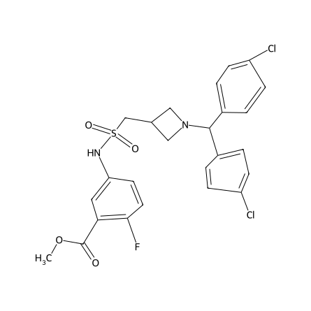 COC(=O)c1cc(NS(=O)(=O)CC2CN(C(c3ccc(Cl)cc3)c3ccc(Cl)cc3)C2)ccc1F